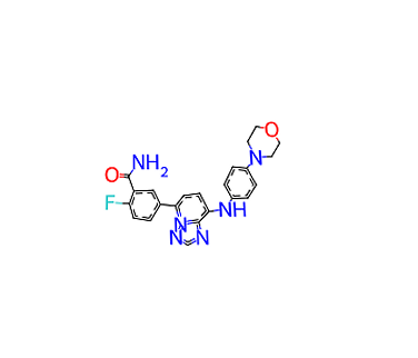 NC(=O)c1cc(-c2ccc(Nc3ccc(N4CCOCC4)cc3)c3ncnn23)ccc1F